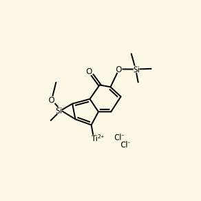 CO[Si]1(C)C2=[C]([Ti+2])C3=CC=C(O[Si](C)(C)C)C(=O)C3=C21.[Cl-].[Cl-]